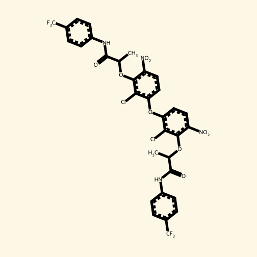 CC(Oc1c([N+](=O)[O-])ccc(Oc2ccc([N+](=O)[O-])c(OC(C)C(=O)Nc3ccc(C(F)(F)F)cc3)c2Cl)c1Cl)C(=O)Nc1ccc(C(F)(F)F)cc1